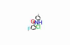 O=C(Nc1cc[c]cc1)c1cc(F)ccc1Cl